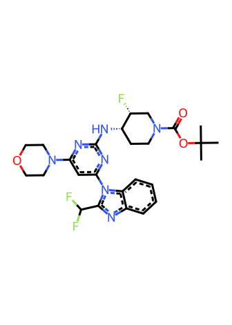 CC(C)(C)OC(=O)N1CC[C@H](Nc2nc(N3CCOCC3)cc(-n3c(C(F)F)nc4ccccc43)n2)[C@H](F)C1